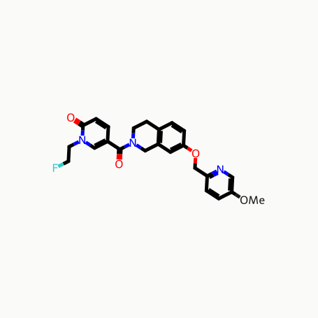 COc1ccc(COc2ccc3c(c2)CN(C(=O)c2ccc(=O)n(CCF)c2)CC3)nc1